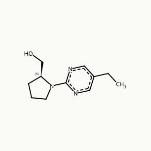 CCc1cnc(N2CCC[C@H]2CO)nc1